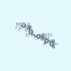 CCc1cc(N2C(=S)N(c3cnc(C#N)c(C(F)(F)F)c3)C(=O)C2(C)C)ccc1OCCC1CCN(C(OC=O)C(=O)Nc2cc(F)cc(NC3CCC(=O)NC3=O)c2)CC1